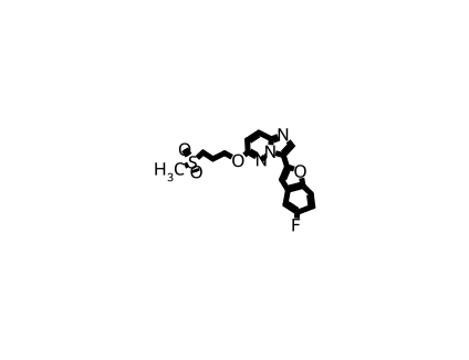 CS(=O)(=O)CCCOc1ccc2ncc(-c3cc4cc(F)ccc4o3)n2n1